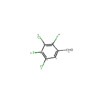 O=Cc1cc(Cl)c(F)c(Cl)c1F